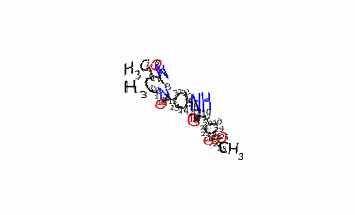 CCN(Cc1cc(C)on1)C(=O)c1ccc(NC(=O)Cc2ccc(S(=O)(=O)CC)cc2)cc1